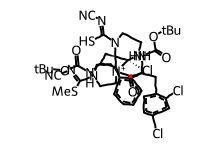 CSC(=NC#N)N1CC[N+](C(=O)C(Cc2ccc(Cl)cc2Cl)NC(=O)OC(C)(C)C)([C@]2(C)NCCN(C(S)=NC#N)[C@]23CC(NC(=O)OC(C)(C)C)C3c2ccccc2Cl)CC1